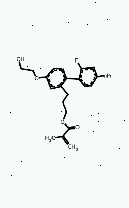 C=C(C)C(=O)OCCCc1cc(OCCO)ccc1-c1ccc(CCC)cc1F